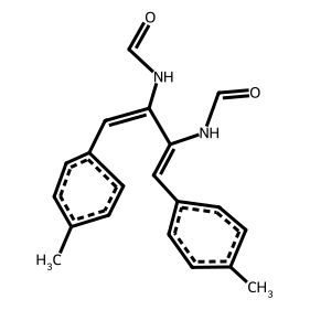 Cc1ccc(C=C(NC=O)/C(=C\c2ccc(C)cc2)NC=O)cc1